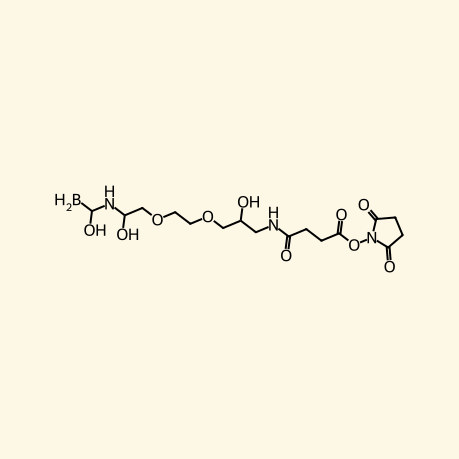 BC(O)NC(O)COCCOCC(O)CNC(=O)CCC(=O)ON1C(=O)CCC1=O